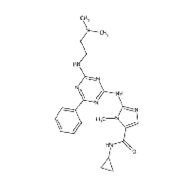 CN(C)CCNc1nc(Nc2ncc(C(=O)NC3CC3)n2C)nc(-c2ccccc2)n1